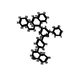 c1ccc(-c2cc(-c3c4ccccc4cc4c3ccc3ccccc34)nc(-c3ccc(-c4ccnc5ccccc45)cc3)n2)cc1